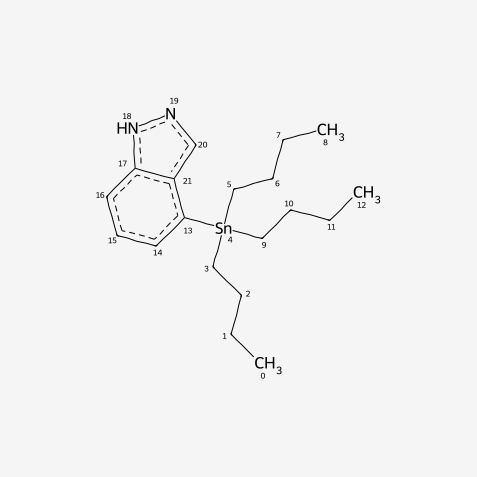 CCC[CH2][Sn]([CH2]CCC)([CH2]CCC)[c]1cccc2[nH]ncc12